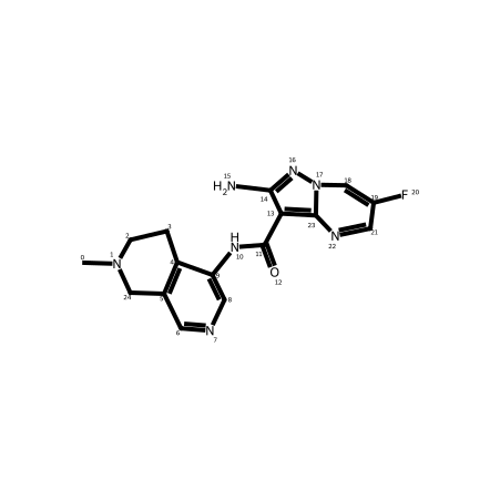 CN1CCc2c(cncc2NC(=O)c2c(N)nn3cc(F)cnc23)C1